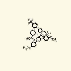 COC[C@@H]1C[C@@H](c2ccc(C(F)(F)F)cc2N2CCC(C(=O)O)CC2)CN1C(=O)[C@]1(F)CN(C2CCC(OC)CC2)C[C@H]1c1ccc(OC)cc1